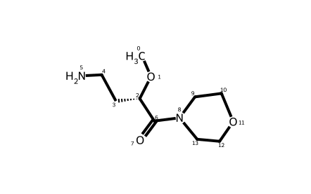 CO[C@@H](CCN)C(=O)N1CCOCC1